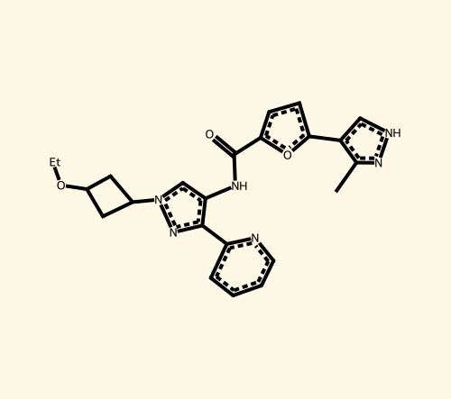 CCOC1CC(n2cc(NC(=O)c3ccc(-c4c[nH]nc4C)o3)c(-c3ccccn3)n2)C1